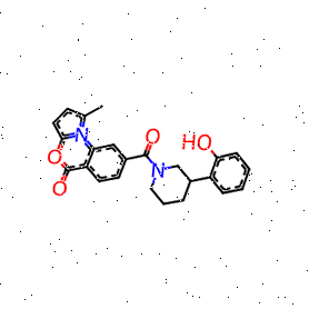 Cc1ccc2oc(=O)c3ccc(C(=O)N4CCCC(c5ccccc5O)C4)cc3n12